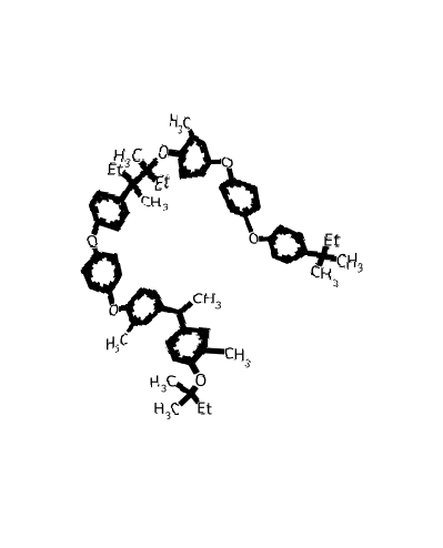 CCC(C)(C)Oc1ccc(C(C)c2ccc(Oc3ccc(Oc4ccc(C(C)(CC)C(C)(CC)Oc5ccc(Oc6ccc(Oc7ccc(C(C)(C)CC)cc7)cc6)cc5C)cc4)cc3)c(C)c2)cc1C